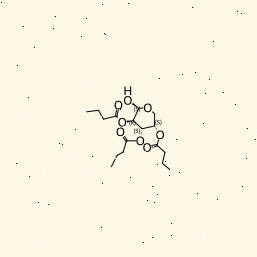 CCCC(=O)O[C@@H]1[C@@H](OC(=O)CCC)[C@@H](O)OC[C@@H]1OC(=O)CCC